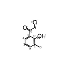 Cc1cccc(C(=O)CCl)c1O